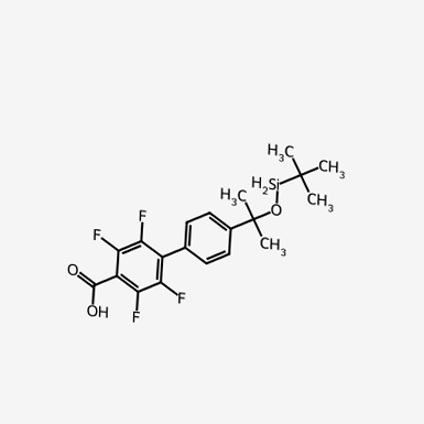 CC(C)(C)[SiH2]OC(C)(C)c1ccc(-c2c(F)c(F)c(C(=O)O)c(F)c2F)cc1